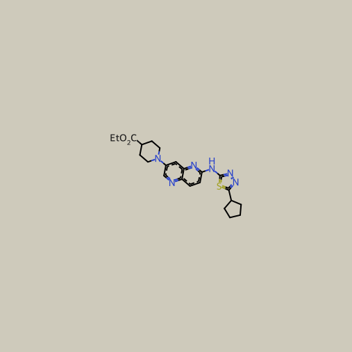 CCOC(=O)C1CCN(c2cnc3ccc(Nc4nnc(C5CCCC5)s4)nc3c2)CC1